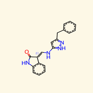 O=C1Nc2ccccc2/C1=C\Nc1cc(Cc2ccccc2)n[nH]1